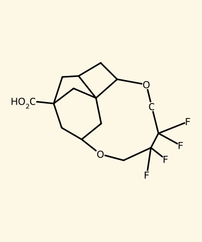 O=C(O)C12CC3CC4(C1)C(CC4OCC(F)(F)C(F)(F)CO3)C2